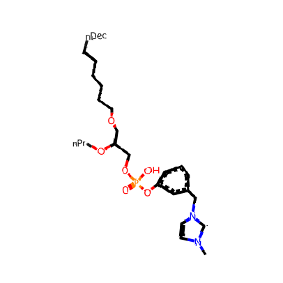 CCCCCCCCCCCCCCCCOCC(COP(=O)(O)Oc1cccc(CN2[CH]N(C)C=C2)c1)OCCC